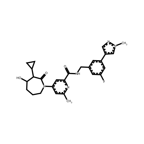 Cc1cc(N2CCCC(O)C(C3CC3)C2=O)cc(C(=O)NCc2cc(F)cc(-c3cnn(C)c3)c2)n1